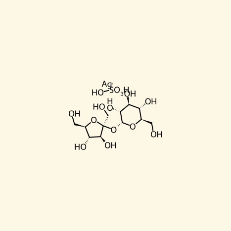 O=S(=O)(O)O.OC[C@H]1O[C@@](CO)(O[C@H]2O[C@H](CO)[C@@H](O)[C@H](O)[C@H]2O)[C@@H](O)[C@@H]1O.[Ag]